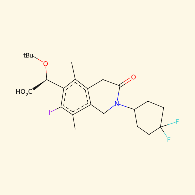 Cc1c(I)c([C@H](OC(C)(C)C)C(=O)O)c(C)c2c1CN(C1CCC(F)(F)CC1)C(=O)C2